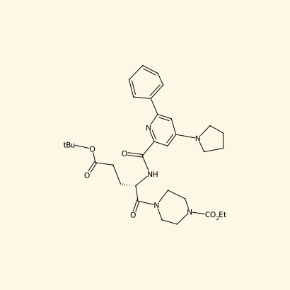 CCOC(=O)N1CCN(C(=O)[C@H](CCC(=O)OC(C)(C)C)NC(=O)c2cc(N3CCCC3)cc(-c3ccccc3)n2)CC1